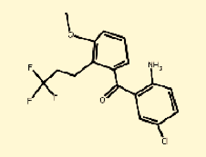 COc1cccc(C(=O)c2cc(Cl)ccc2N)c1CCC(F)(F)F